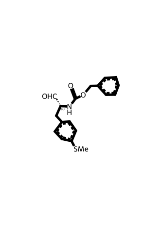 CSc1ccc(C[C@H](C=O)NC(=O)OCc2ccccc2)cc1